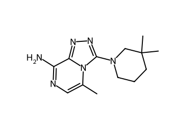 Cc1cnc(N)c2nnc(N3CCCC(C)(C)C3)n12